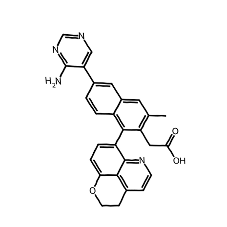 Cc1cc2cc(-c3cncnc3N)ccc2c(-c2ccc3c4c(ccnc24)CCO3)c1CC(=O)O